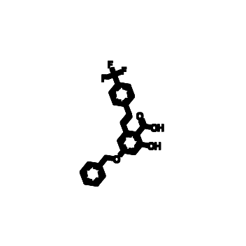 O=C(O)c1c(O)cc(OCc2ccccc2)cc1C=Cc1ccc(C(F)(F)F)cc1